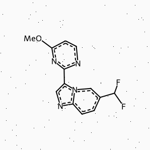 COc1ccnc(-c2cnc3ccc(C(F)F)cn23)n1